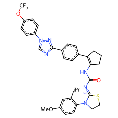 COc1ccc(N2CCS/C2=N\C(=O)NC2=C(c3ccc(-c4ncn(-c5ccc(OC(F)(F)F)cc5)n4)cc3)CCC2)c(C(C)C)c1